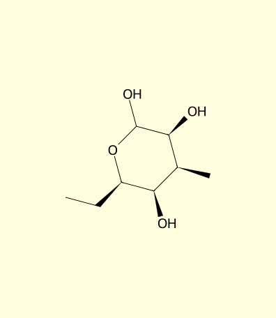 CC[C@H]1OC(O)[C@@H](O)[C@@H](C)[C@H]1O